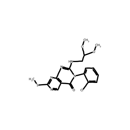 COC(CNc1nc2nc(SC)ncc2c(=O)n1-c1ccccc1Cl)OC